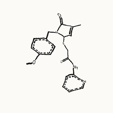 COc1ccc(CN2C(=O)C(C)=CC2SCC(=O)Nc2ccccn2)cc1